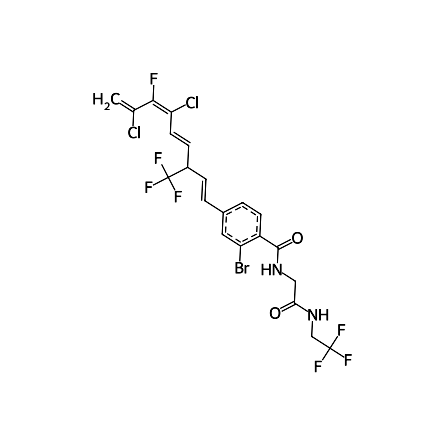 C=C(Cl)/C(F)=C(Cl)\C=C\C(/C=C/c1ccc(C(=O)NCC(=O)NCC(F)(F)F)c(Br)c1)C(F)(F)F